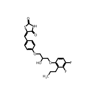 CCCc1c(OCC(O)COc2ccc(C=C3SC(=O)NC3=O)cc2)ccc(F)c1F